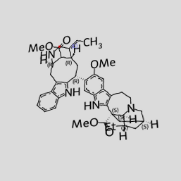 C/C=C1/CN[C@@H]2Cc3c([nH]c4ccccc34)[C@@H](c3cc4[nH]c5c(c4cc3OC)CCN3C[C@H]4C[C@H](CC)[C@H]3[C@@]5(C(=O)OC)C4)C[C@@H]1C2C(=O)OC